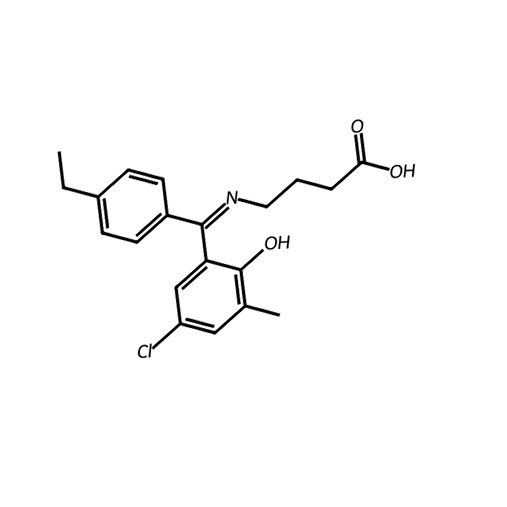 CCc1ccc(C(=NCCCC(=O)O)c2cc(Cl)cc(C)c2O)cc1